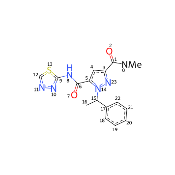 CNC(=O)c1cc(C(=O)Nc2nncs2)n(C(C)c2ccccc2)n1